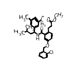 COC(=O)CCc1ccc(OCc2ccccc2Cl)cc1C(=O)NC(CC(C)C)c1cc(C)cc(C)c1